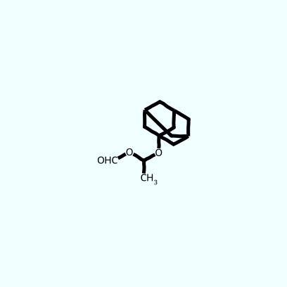 CC(OC=O)OC12CC3CC(CC(C3)C1)C2